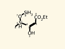 CCOC(=O)C=CO.C[SiH](C)O[SiH3]